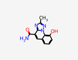 Cc1nc2c(C(N)=O)cc3cccc(O)c3n2n1